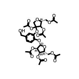 CC(=O)OC[C@H]1OCC(OC(C)=O)(Oc2cc(CO)ccc2O[C@@H]2O[C@H](COC(C)=O)[C@@H](OC(C)=O)[C@H]2OC(C)=O)C1OC(C)=O